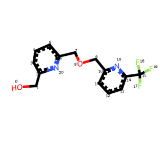 OCc1cccc(COCc2cccc(C(F)(F)F)n2)n1